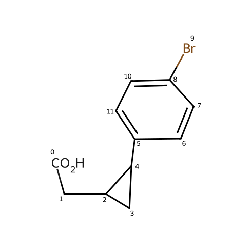 O=C(O)CC1CC1c1ccc(Br)cc1